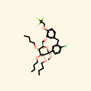 CCCCO[C@H]1[C@H](OCCCC)[C@@H](C=O)O[C@@](OC)(c2ccc(Cl)c(Cc3ccc(OCC(F)(F)F)cc3)c2)[C@@H]1OCCCC